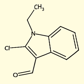 CCn1c(Cl)c(C=O)c2ccccc21